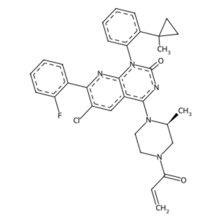 C=CC(=O)N1CCN(c2nc(=O)n(-c3ccccc3C3(C)CC3)c3nc(-c4ccccc4F)c(Cl)cc23)[C@@H](C)C1